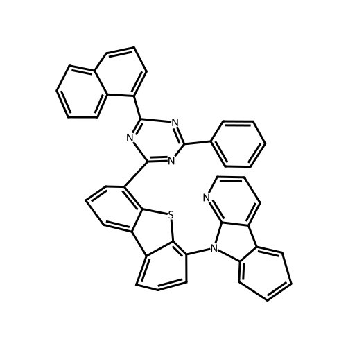 c1ccc(-c2nc(-c3cccc4ccccc34)nc(-c3cccc4c3sc3c(-n5c6ccccc6c6cccnc65)cccc34)n2)cc1